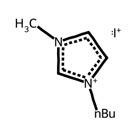 CCCC[n+]1ccn(C)c1.[I+]